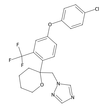 FC(F)(F)c1cc(Oc2ccc(Cl)cc2)ccc1C1(Cn2cncn2)CCCCO1